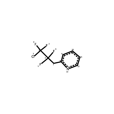 FC(F)(Cl)C(F)(F)Cc1ccccn1